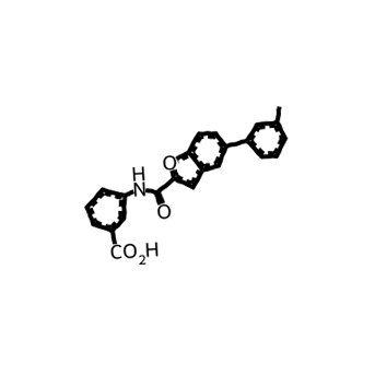 Cc1cccc(-c2ccc3oc(C(=O)Nc4cccc(C(=O)O)c4)cc3c2)c1